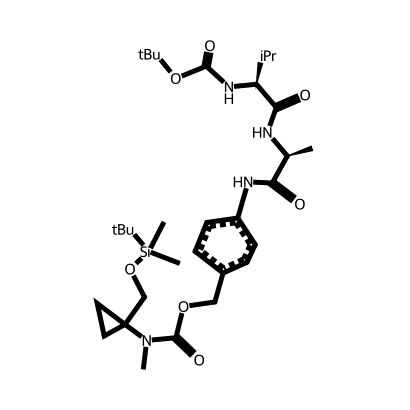 CC(C)[C@H](NC(=O)OC(C)(C)C)C(=O)N[C@@H](C)C(=O)Nc1ccc(COC(=O)N(C)C2(CO[Si](C)(C)C(C)(C)C)CC2)cc1